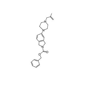 C=C(C)CN1CCN(c2ccc3c(c2)CN(C(=O)OCc2ccccc2)C3)CC1